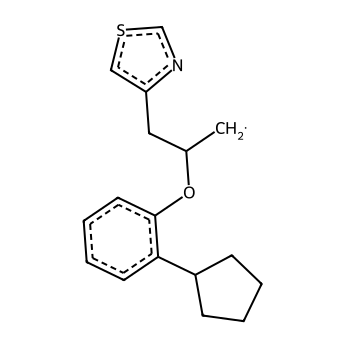 [CH2]C(Cc1cscn1)Oc1ccccc1C1CCCC1